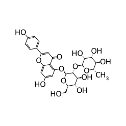 C[C@@H]1O[C@@H](O[C@H]2[C@H](Oc3cc(O)cc4oc(-c5ccc(O)cc5)cc(=O)c34)O[C@H](CO)[C@@H](O)[C@@H]2O)[C@H](O)[C@H](O)[C@H]1O